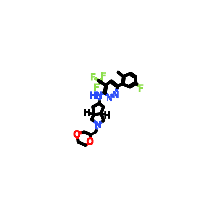 Cc1ccc(F)cc1-c1cc(C(F)(F)F)c(NC2C[C@@H]3CN(C[C@@H]4COCCO4)C[C@@H]3C2)nn1